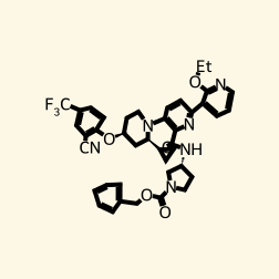 CCOc1ncccc1-c1ccc(N2CC[C@H](Oc3ccc(C(F)(F)F)cc3C#N)C[C@@H]2C2CC2)c(C(=O)N[C@@H]2CCN(C(=O)OCc3ccccc3)C2)n1